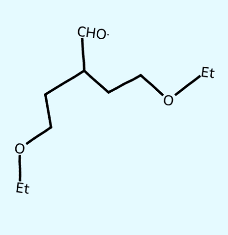 CCOCCC([C]=O)CCOCC